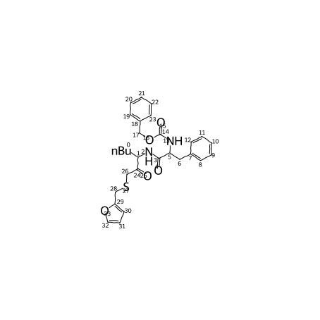 CCCCC(NC(=O)C(Cc1ccccc1)NC(=O)OCc1ccccc1)C(=O)CSCc1ccco1